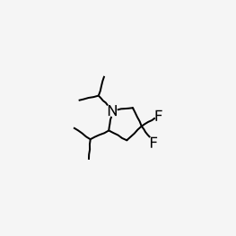 CC(C)C1CC(F)(F)CN1C(C)C